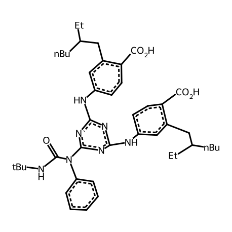 CCCCC(CC)Cc1cc(Nc2nc(Nc3ccc(C(=O)O)c(CC(CC)CCCC)c3)nc(N(C(=O)NC(C)(C)C)c3ccccc3)n2)ccc1C(=O)O